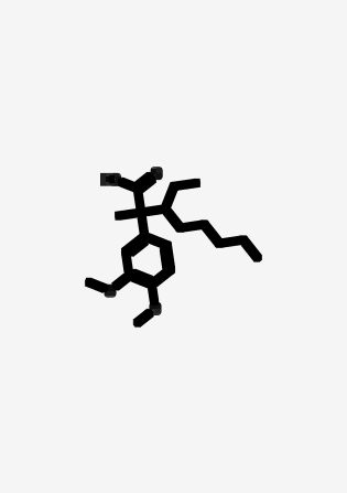 CCCCCC(CC)C(C)(C(=O)O)c1ccc(OC)c(OC)c1